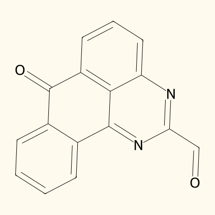 O=Cc1nc2c3c(cccc3n1)C(=O)c1ccccc1-2